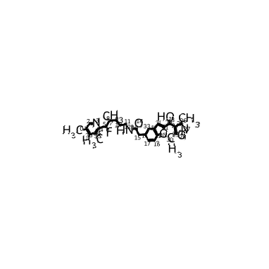 Cc1cnc(C(F)C(C)CCCNC(=O)Cc2ccc3oc(C(O)c4c(C)noc4C)cc3c2)c(C)c1